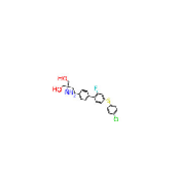 NC(CO)(CO)CCc1ccc(-c2ccc(Sc3ccc(Cl)cc3)cc2F)cc1